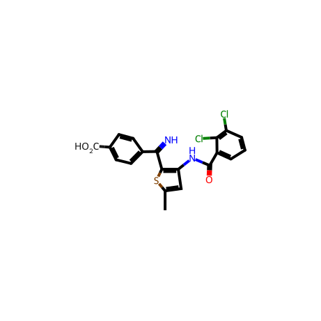 Cc1cc(NC(=O)c2cccc(Cl)c2Cl)c(C(=N)c2ccc(C(=O)O)cc2)s1